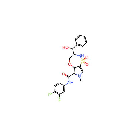 Cn1cc2c(c1C(=O)Nc1ccc(F)c(F)c1)OC[C@@H]([C@@H](O)c1ccccc1)NS2(=O)=O